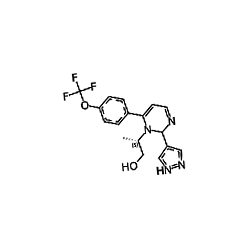 C[C@@H](CO)N1C(c2ccc(OC(F)(F)F)cc2)=CC=NC1c1cn[nH]c1